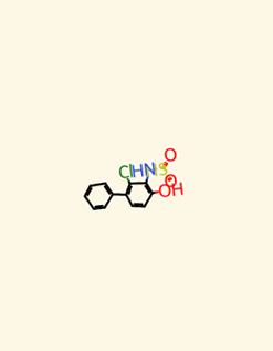 O=[SH](=O)Nc1c(O)ccc(-c2ccccc2)c1Cl